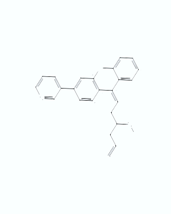 C=CCC(C/C=C1/c2ccccc2Sc2cc(-c3cccnc3)ccc21)NCC